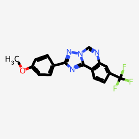 COc1ccc(-c2nc3c4ccc(C(F)(F)F)cc4ncn3n2)cc1